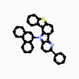 c1ccc(-c2ccc3c(n2)c2ccc4sc5ccccc5c4c2n3-c2cc3ccccc3c3ccccc23)cc1